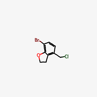 ClCc1ccc(Br)c2c1CCO2